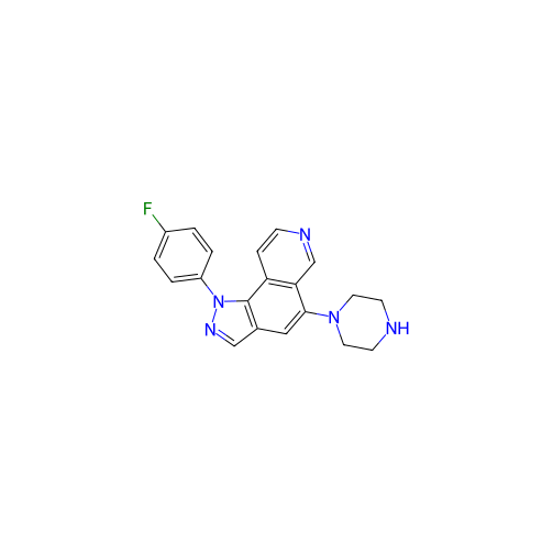 Fc1ccc(-n2ncc3cc(N4CCNCC4)c4cnccc4c32)cc1